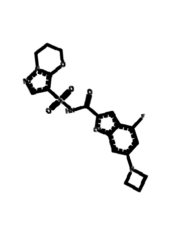 O=C(NS(=O)(=O)c1cnn2c1OCCC2)c1cc2c(F)cc(N3CCC3)cc2o1